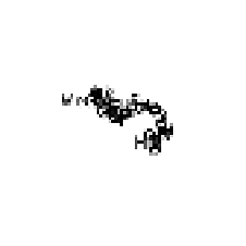 CCOc1cc([C@@H](CC#N)N2C(=O)c3ccnc(N4CCN([C@@H]5CCN(Cc6ccc(Oc7ccc8c([C@@]9(C)CCC(=O)NC9=O)nn(C)c8c7)cc6)CC5(F)F)CC4)c3C2=O)ccc1OC